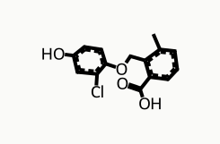 Cc1cccc(C(=O)O)c1COc1ccc(O)cc1Cl